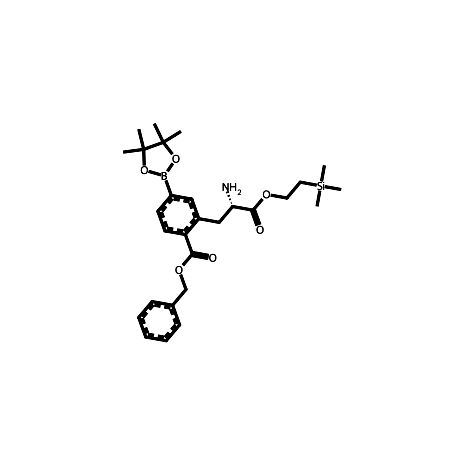 CC1(C)OB(c2ccc(C(=O)OCc3ccccc3)c(C[C@H](N)C(=O)OCC[Si](C)(C)C)c2)OC1(C)C